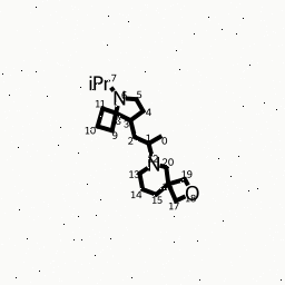 CC(CC1CCN(C(C)C)C12CCC2)N1CCCC2(COC2)C1